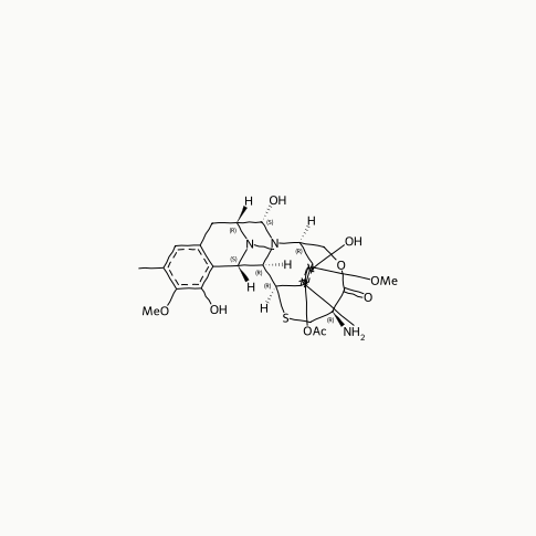 COc1c(C)cc2c(c1O)[C@H]1[C@@H]3[C@@H]4SC[C@H](N)C(=O)OC[C@@H](c5c(O)c(OC)c(C)c(OC(C)=O)c54)N3[C@@H](O)[C@@H](C2)N1C